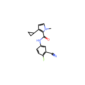 Cn1ccc(C2CC2)c1C(=O)Nc1ccc(F)c(C#N)c1